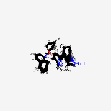 Cc1ccc2[nH]cc(C)c2c1-c1cc(OC2CCCC2)c(CN(C)C2CCCc3ccccc32)c(C)n1